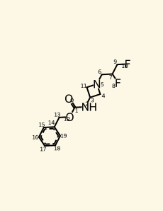 O=C(NC1CN(CC(F)CF)C1)OCc1ccccc1